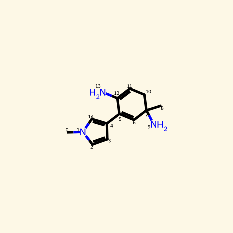 Cn1ccc(C2=CC(C)(N)CC=C2N)c1